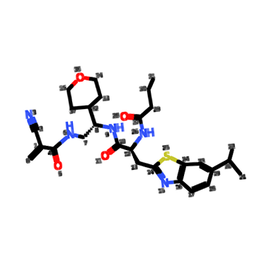 C=C(C#N)C(=O)NC[C@@H](NC(=O)[C@H](Cc1nc2ccc(C(C)C)cc2s1)NC(=O)CCC)C1CCOCC1